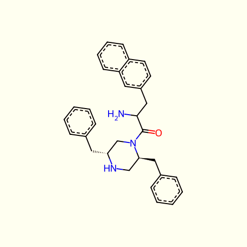 NC(Cc1ccc2ccccc2c1)C(=O)N1C[C@@H](Cc2ccccc2)NC[C@@H]1Cc1ccccc1